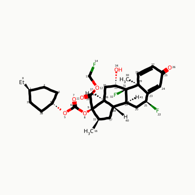 CC[C@H]1CC[C@H](OC(=O)O[C@]2(C(=O)OCF)[C@H](C)C[C@H]3[C@@H]4C[C@H](F)C5=CC(=O)C=C[C@]5(C)[C@@]4(F)[C@@H](O)C[C@@]32C)CC1